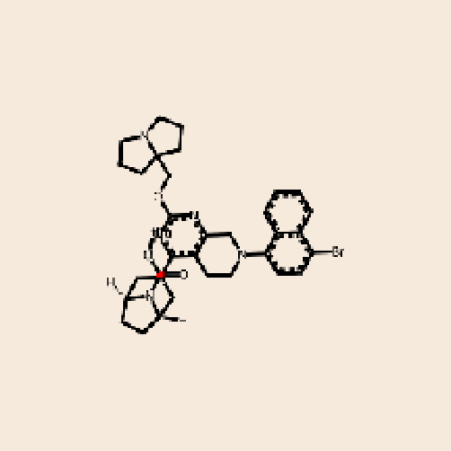 CC(C)(C)OC(=O)N1[C@H]2CC[C@H]1CN(c1nc(OCC34CCCN3CCC4)nc3c1CCN(c1ccc(Br)c4ccccc14)C3)C2